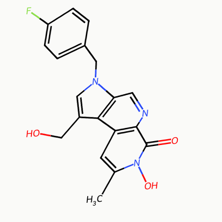 Cc1cc2c(ncc3c2c(CO)cn3Cc2ccc(F)cc2)c(=O)n1O